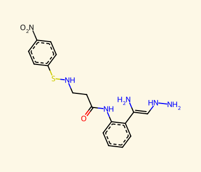 NN/C=C(\N)c1ccccc1NC(=O)CCNSc1ccc([N+](=O)[O-])cc1